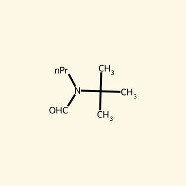 CCCN(C=O)C(C)(C)C